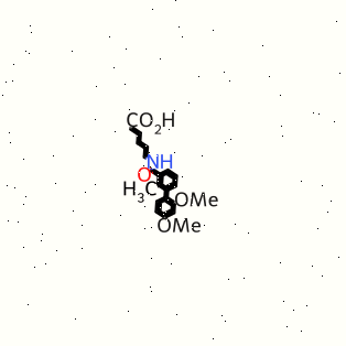 COc1ccc(-c2cccc(C(=O)NCCCCCC(=O)O)c2C)c(OC)c1